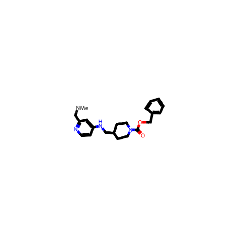 CNCc1cc(NCC2CCN(C(=O)OCc3ccccc3)CC2)ccn1